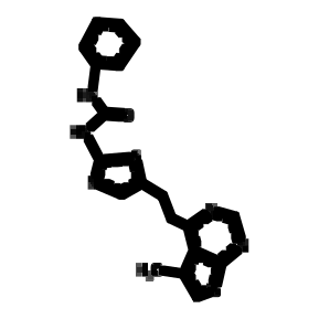 Cc1csc2ncnc(CCc3cnc(NC(=O)Nc4ccccc4)s3)c12